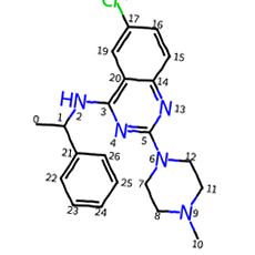 CC(Nc1nc(N2CCN(C)CC2)nc2ccc(Cl)cc12)c1ccccc1